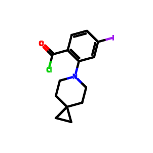 O=C(Cl)c1ccc(I)cc1N1CCC2(CC1)CC2